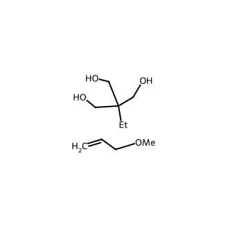 C=CCOC.CCC(CO)(CO)CO